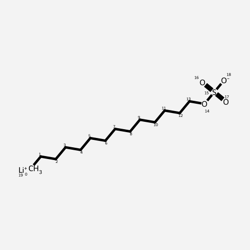 CCCCCCCCCCCCCCOS(=O)(=O)[O-].[Li+]